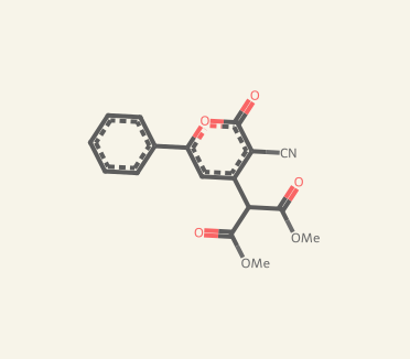 COC(=O)C(C(=O)OC)c1cc(-c2ccccc2)oc(=O)c1C#N